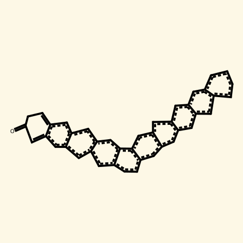 O=C1C=c2cc3cc4cc5ccc6cc7cc8cc9cc%10ccccc%10cc9cc8cc7cc6c5cc4cc3cc2=CC1